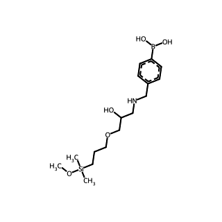 CO[Si](C)(C)CCCOCC(O)CNCc1ccc(B(O)O)cc1